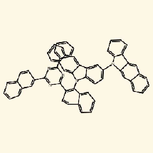 c1ccc(-c2nc(-c3ccc4ccccc4c3)nc(-c3ccc4ccccc4c3-n3c4ccc(-n5c6ccccc6c6cc7ccccc7cc65)cc4c4cc5ccccc5cc43)n2)cc1